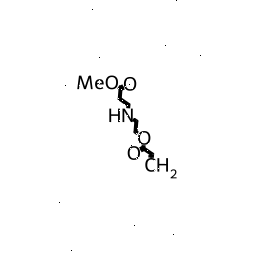 C=CC(=O)OCCNCCC(=O)OC